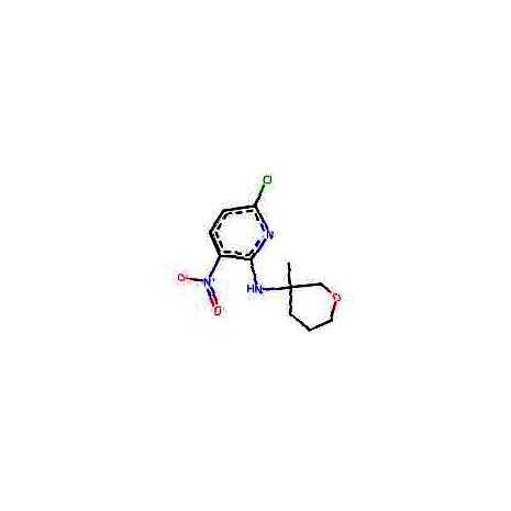 CC1(Nc2nc(Cl)ccc2[N+](=O)[O-])CCCOC1